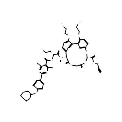 Cc1nc(-c2ccc(OC3CCCCC3)cc2)nc(C)c1C(=O)N[C@@H](CCO)C(=O)N(C)[C@@H]1C(=O)N[C@@H](C)C(=O)N[C@H](C(=O)NCC#N)Cc2ccc(OCCN)c(c2)-c2cc1ccc2OCCN